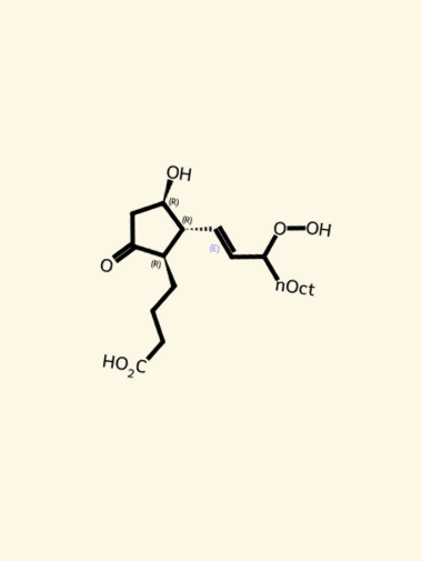 CCCCCCCCC(/C=C/[C@H]1[C@H](O)CC(=O)[C@@H]1CCCC(=O)O)OO